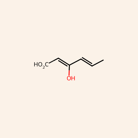 C/C=C/C(O)=C/C(=O)O